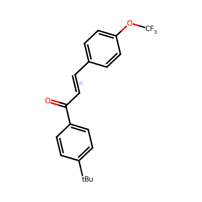 CC(C)(C)c1ccc(C(=O)/C=C/c2ccc(OC(F)(F)F)cc2)cc1